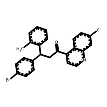 Cc1ccccc1C(CC(=O)c1ccnc2cc(Cl)ccc12)c1ccc(Br)cc1